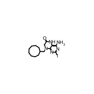 Nc1nc(I)nc2c1NC(=O)CN2CC1CCCCCCCC1